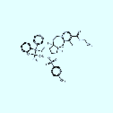 CCOC(=O)c1ccc2c(c1F)O[C@H]1C[C@H](OS(=O)(=O)c3ccc(C)cc3)[C@H](CO[Si](c3ccccc3)(c3ccccc3)C(C)(C)C)[C@H]1CC2